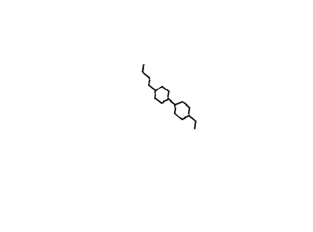 CCCCC1CCC(C2CCC(CC)CC2)CC1